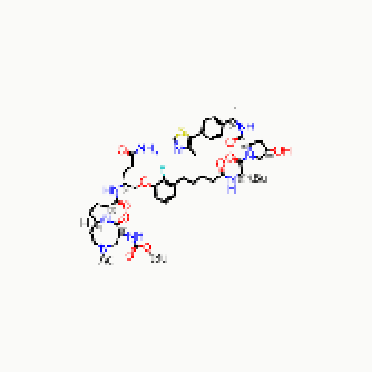 CC(=O)N1CC[C@H]2CC[C@@H](C(=O)N[C@@H](CCC(N)=O)COc3cccc(CCCCC(=O)N[C@H](C(=O)N4C[C@H](O)C[C@H]4C(=O)N[C@@H](C)c4ccc(-c5scnc5C)cc4)C(C)(C)C)c3F)N2C(=O)[C@@H](NC(=O)OC(C)(C)C)C1